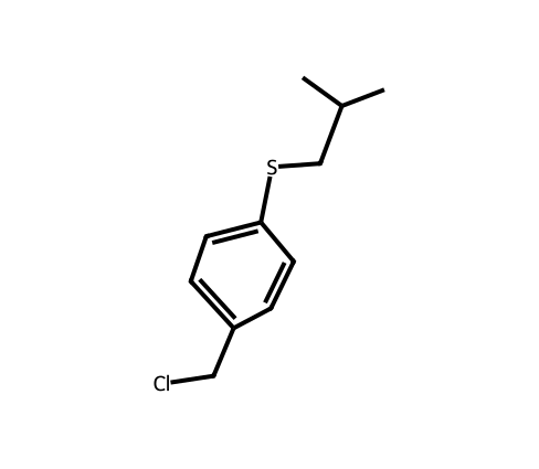 CC(C)CSc1ccc(CCl)cc1